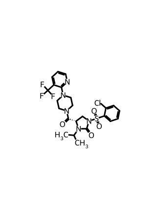 CC(C)N1C(=O)N(S(=O)(=O)c2ccccc2Cl)C[C@H]1C(=O)N1CCN(c2ncccc2C(F)(F)F)CC1